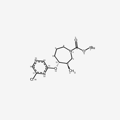 C[C@@H]1CN(C(=O)OC(C)(C)C)CCC[C@H]1Oc1cncc(Cl)n1